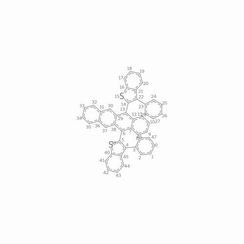 c1ccc(-c2c(-c3c4ccccc4c(-c4sc5ccccc5c4-c4ccccc4)c4cc5ccccc5cc34)sc3ccccc23)cc1